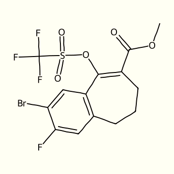 COC(=O)C1=C(OS(=O)(=O)C(F)(F)F)c2cc(Br)c(F)cc2CCC1